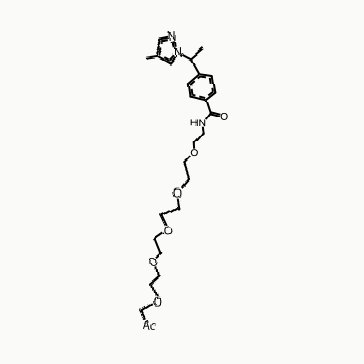 CC(=O)COCCOCCOCCOCCOCCNC(=O)c1ccc(C(C)n2cc(C)cn2)cc1